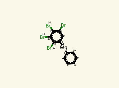 Brc1c[c]([Mg][c]2ccccc2)c(Br)c(Br)c1Br